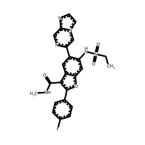 CCS(=O)(=O)Nc1cc2oc(-c3ccc(F)cc3)c(C(=O)NC)c2cc1-c1cn2ccnc2cn1